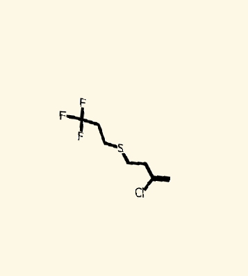 C=C(Cl)CCSCCC(F)(F)F